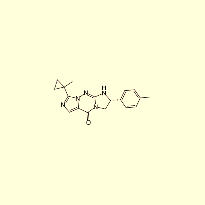 Cc1ccc([C@@H]2Cn3c(nn4c(C5(C)CC5)ncc4c3=O)N2)cc1